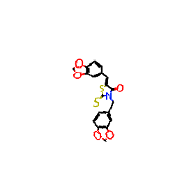 O=C1C(=Cc2ccc3c(c2)OCO3)SC(=S)N1Cc1ccc2c(c1)OCO2